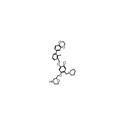 Cc1c(COc2cc(OCC3CNCCO3)c(CN3CCCCC3)cc2Cl)cccc1-c1ccc2c(c1)OCCO2